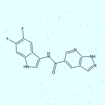 O=C(Nc1c[nH]c2cc(F)c(F)cc12)c1cnc2[nH]ncc2c1